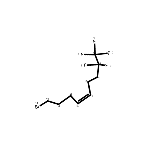 FC(F)(F)C(F)(F)CC/C=C\CCCBr